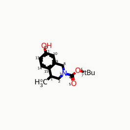 CC1CN(C(=O)OC(C)(C)C)Cc2cc(O)ccc21